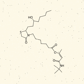 CCCCCC(O)CCC1SCC(=O)N1CCCCCCC(=O)O/C(C)=C\C(=O)NC(C)(C)C